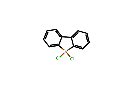 ClS1(Cl)c2ccccc2-c2ccccc21